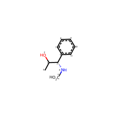 CC(O)[C@@H](NC(=O)O)c1ccccc1